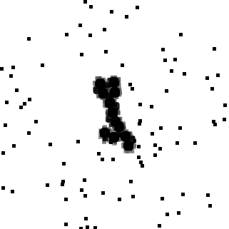 Fc1ccccc1-c1cccc(N(c2ccc3cc4c(cc3c2)oc2cc3c(cc24)oc2cc(N(c4cccc(-c5ccccc5F)c4)c4ccc5oc6ccccc6c5c4)ccc23)c2ccc3oc4ccccc4c3c2)c1